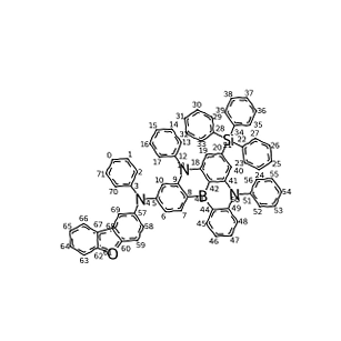 c1ccc(N(c2ccc3c(c2)N(c2ccccc2)c2cc([Si](c4ccccc4)(c4ccccc4)c4ccccc4)cc4c2B3c2ccccc2N4c2ccccc2)c2ccc3oc4ccccc4c3c2)cc1